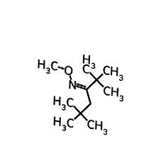 CON=C(CC(C)(C)C)C(C)(C)C